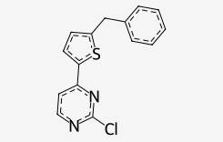 Clc1nccc(-c2ccc(Cc3ccccc3)s2)n1